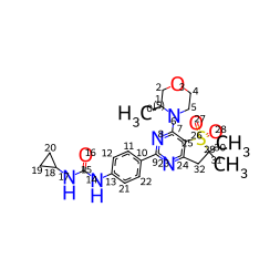 C[C@H]1COCCN1c1nc(-c2ccc(NC(=O)NC3CC3)cc2)nc2c1S(=O)(=O)C(C)(C)C2